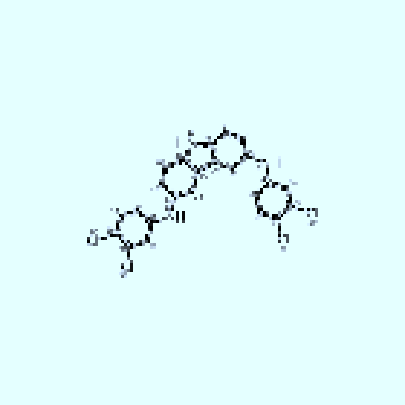 Clc1ccc(Nc2ccc3[nH]c4ccc(Nc5ccc(Cl)c(Cl)c5)cc4c3c2)cc1Cl